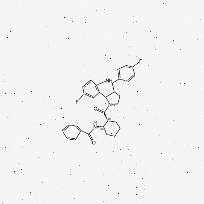 O=C(N[C@@H]1CCCC[C@@H]1C(=O)N1CCC2C(c3ccc(F)cc3)Nc3ccc(F)cc3C21)c1ccccc1